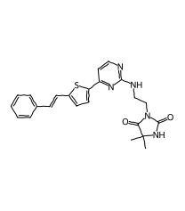 CC1(C)NC(=O)N(CCNc2nccc(-c3ccc(/C=C/c4ccccc4)s3)n2)C1=O